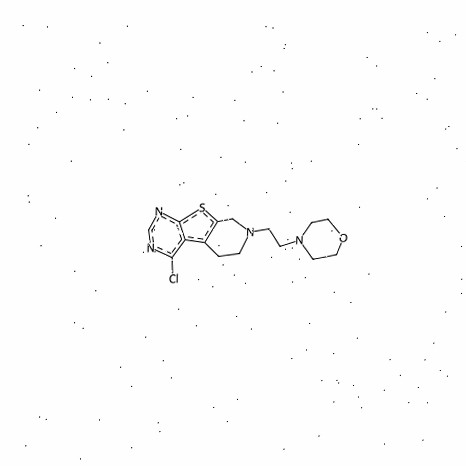 Clc1ncnc2sc3c(c12)CCN(CCN1CCOCC1)C3